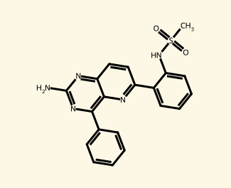 CS(=O)(=O)Nc1ccccc1-c1ccc2nc(N)nc(-c3ccccc3)c2n1